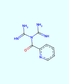 N=C(N)N(C(=N)N)C(=O)c1ccccn1